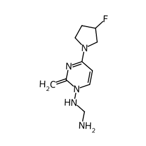 C=C1N=C(N2CCC(F)C2)C=CN1NCN